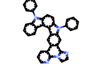 c1ccc(-n2c3ccccc3c3c4c5cc6c7cccnc7n7ccnc7c6cc5n(-c5ccccc5)c4ccc32)cc1